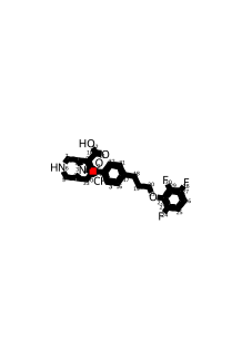 CC(=O)N1C2CNCC1C(C(=O)O)=C(c1ccc(CCCOc3c(F)ccc(F)c3F)cc1)C2